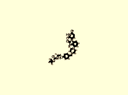 C[C@H](COC1CCC(CN2CCN(c3cccc4c3n(C)c(=O)n4C3CCC(=O)NC3=O)CC2)CC1)NC(=O)OC(C)(C)C